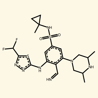 CC1CN(c2cc(S(=O)(=O)NC3(C)CC3)cc(Nc3nnc(C(F)F)s3)c2C=N)CC(C)N1